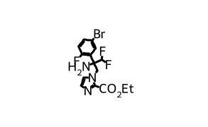 CCOC(=O)c1nccn1CC(N)(c1cc(Br)ccc1F)C(F)F